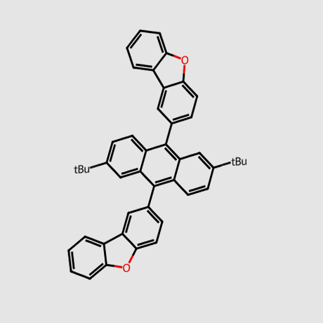 CC(C)(C)c1ccc2c(-c3ccc4oc5ccccc5c4c3)c3cc(C(C)(C)C)ccc3c(-c3ccc4oc5ccccc5c4c3)c2c1